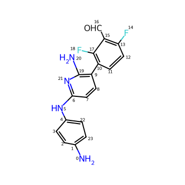 Nc1ccc(Nc2ccc(-c3ccc(F)c(C=O)c3F)c(N)n2)cc1